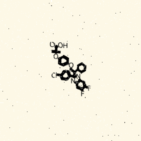 CC(C)(Oc1ccc(OCC(C2CCCCC2)C2(c3ccc(Cl)cc3)N=c3cc(F)c(F)cc3=N2)cc1)C(=O)O